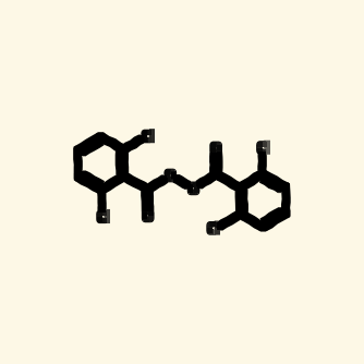 O=C(OOC(=O)c1c(Cl)cccc1Cl)c1c(Cl)cccc1Cl